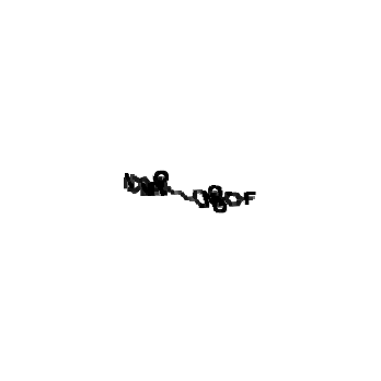 O=C(NCCCCC1CCN(S(=O)(=O)c2ccc(F)cc2)CC1)c1cc2cnccc2[nH]1